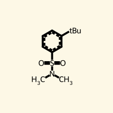 CN(C)S(=O)(=O)c1cccc(C(C)(C)C)c1